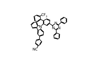 N#Cc1ccc(-c2ccc3c(c2)c2ccccc2n3-c2cc(-c3nc(-c4ccccc4)nc(-c4ccccc4)n3)ccc2-c2ccccc2C(F)(F)F)cc1